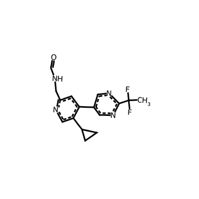 CC(F)(F)c1ncc(-c2cc(CNC=O)ncc2C2CC2)cn1